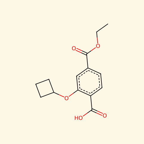 CCOC(=O)c1ccc(C(=O)O)c(OC2CCC2)c1